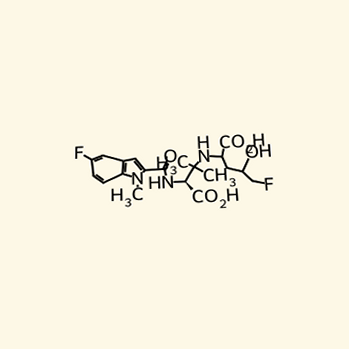 Cn1c(C(=O)N[C@H](C(=O)O)C(C)(C)NC(CC(O)CF)C(=O)O)cc2cc(F)ccc21